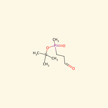 C[Si](C)(C)OP(C)(=O)CCC=O